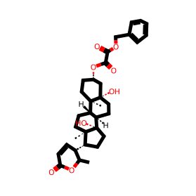 CC1OC(=O)C=CC1[C@H]1CC[C@]2(O)[C@@H]3CC[C@]4(O)C[C@@H](OC(=O)C(=O)OCc5ccccc5)CC[C@]4(C)[C@H]3CC[C@]12C